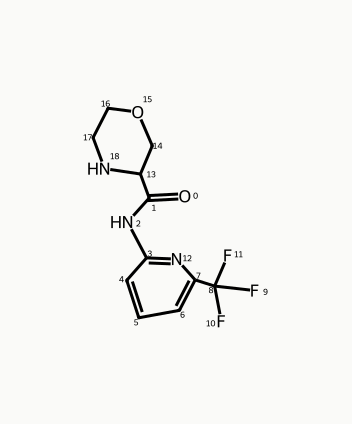 O=C(Nc1cccc(C(F)(F)F)n1)C1COCCN1